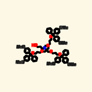 COc1ccc(C(OCCCOCC(COCCCOC(c2ccccc2)(c2ccc(OC)cc2)c2ccc(OC)cc2)(COCCCOC(c2ccccc2)(c2ccc(OC)cc2)c2ccc(OC)cc2)N(C)CCCO)(c2ccccc2)c2ccc(OC)cc2)cc1